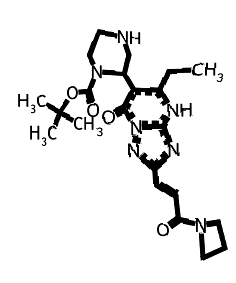 CCc1[nH]c2nc(/C=C/C(=O)N3CCC3)nn2c(=O)c1C1CNCCN1C(=O)OC(C)(C)C